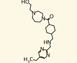 CCc1cnc(CNCC2CCC(C(=O)N3CCCN(CCO)CC3)CC2)nc1